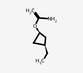 C=C(N)O[C@H]1C[C@@H](CC)C1